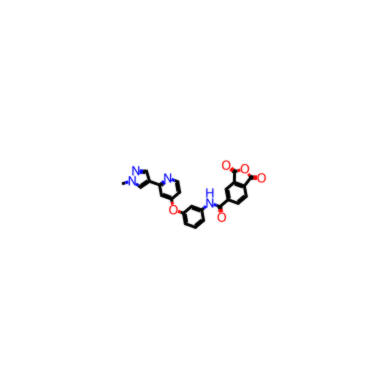 Cn1cc(-c2cc(Oc3cccc(NC(=O)c4ccc5c(c4)C(=O)OC5=O)c3)ccn2)cn1